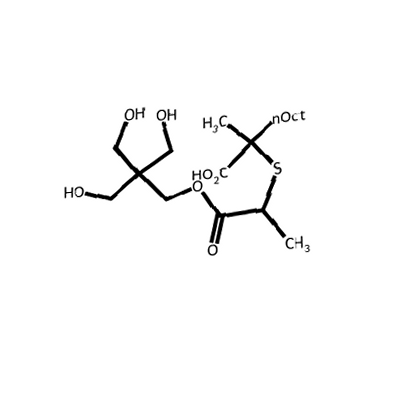 CCCCCCCCC(C)(SC(C)C(=O)OCC(CO)(CO)CO)C(=O)O